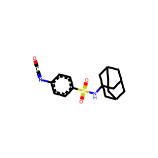 O=C=Nc1ccc(S(=O)(=O)NC23CC4CC(CC(C4)C2)C3)cc1